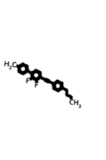 CCCCc1ccc(C#Cc2ccc(-c3ccc(C)cc3)c(F)c2F)cc1